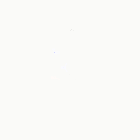 COc1ccc(CCC(=O)O)cc1-c1ccc(C(F)(F)F)nc1CNC1(C(O)c2cc(C(F)(F)F)cc(C(F)(F)F)c2)CC1